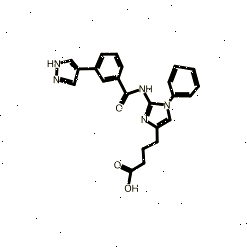 O=C(O)CCCc1cn(-c2ccccc2)c(NC(=O)c2cccc(-c3cn[nH]c3)c2)n1